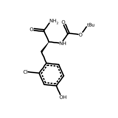 CC(C)(C)OC(=O)N[C@@H](Cc1ccc(O)cc1Cl)C(N)=O